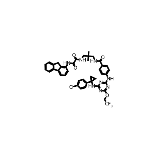 CC(C)(CNC(=O)C(=O)Nc1cccc2c1Cc1ccccc1-2)CNC(=O)c1ccc(Nc2nc(NC3(c4ccc(Cl)cc4)CC3)nc(OCC(F)(F)F)n2)cc1